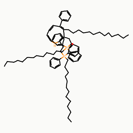 CCCCCCCCCCCCCc1c(-c2ccccc2)cccc[pH]c(CC[P+](CCCCCCCCCCCCC)(c2ccccc2)c2ccccc2)c1CC[P+](CCCCCCCCCCCCC)(c1ccccc1)c1ccccc1